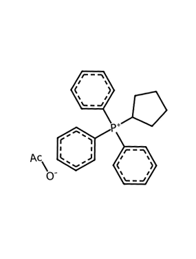 CC(=O)[O-].c1ccc([P+](c2ccccc2)(c2ccccc2)C2CCCC2)cc1